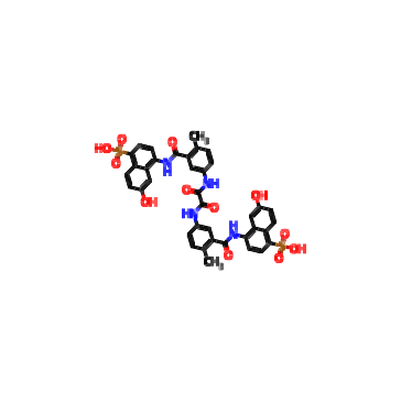 Cc1ccc(NC(=O)C(=O)Nc2ccc(C)c(C(=O)Nc3ccc(S(=O)(=O)O)c4ccc(O)cc34)c2)cc1C(=O)Nc1ccc(S(=O)(=O)O)c2ccc(O)cc12